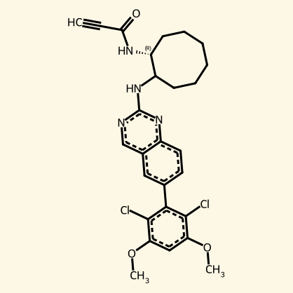 C#CC(=O)N[C@@H]1CCCCCCC1Nc1ncc2cc(-c3c(Cl)c(OC)cc(OC)c3Cl)ccc2n1